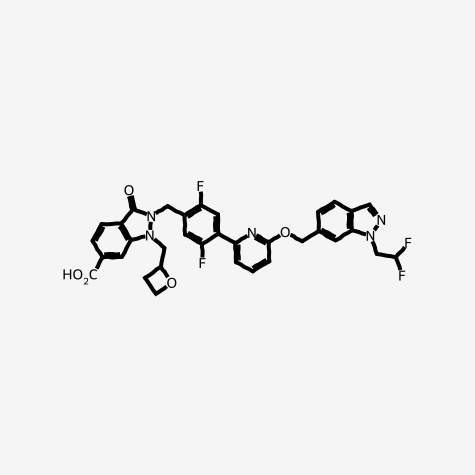 O=C(O)c1ccc2c(=O)n(Cc3cc(F)c(-c4cccc(OCc5ccc6cnn(CC(F)F)c6c5)n4)cc3F)n(CC3CCO3)c2c1